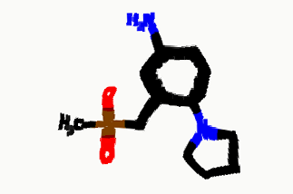 CS(=O)(=O)Cc1cc(N)ccc1N1CCCC1